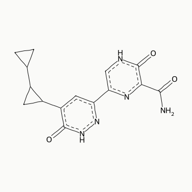 NC(=O)c1nc(-c2cc(C3CC3C3CC3)c(=O)[nH]n2)c[nH]c1=O